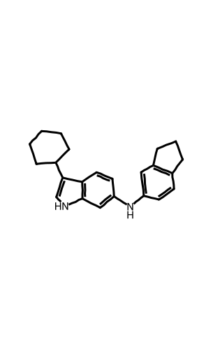 c1cc2c(cc1Nc1ccc3c(C4CCCCC4)c[nH]c3c1)CCC2